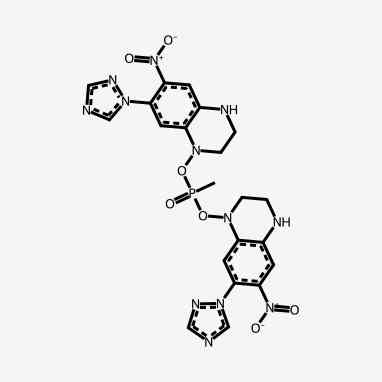 CP(=O)(ON1CCNc2cc([N+](=O)[O-])c(-n3cncn3)cc21)ON1CCNc2cc([N+](=O)[O-])c(-n3cncn3)cc21